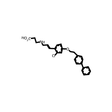 O=C(O)CCNCC=Cc1ccc(OCCc2ccc(-c3ccccc3)cc2)cc1Cl